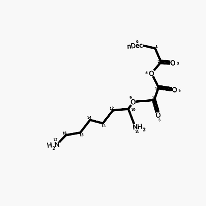 CCCCCCCCCCCC(=O)OC(=O)C(=O)OC(N)CCCCCN